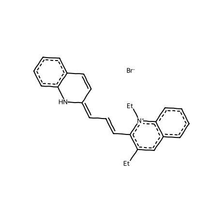 CCc1cc2ccccc2[n+](CC)c1C=CC=C1C=Cc2ccccc2N1.[Br-]